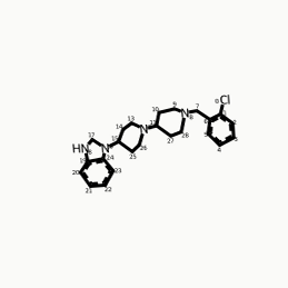 Clc1ccccc1CN1CCC(N2CCC(N3CNc4ccccc43)CC2)CC1